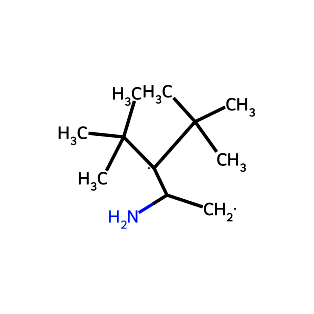 [CH2]C(N)[C](C(C)(C)C)C(C)(C)C